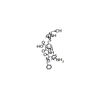 C#CCN1C=NN(SCC2=C(C(=O)O)N3C(=O)C(NC(=O)/C(=N/OCc4ccccc4)c4csc(N)n4)[C@H]3SC2)N1